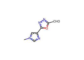 Cn1cnc(-c2nnc(C=O)o2)c1